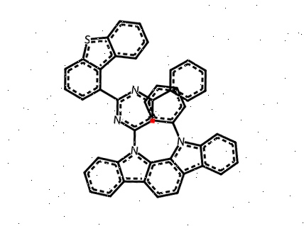 c1ccc(-c2cc(-n3c4ccccc4c4ccc5c6ccccc6n(-c6ccccc6)c5c43)nc(-c3cccc4sc5ccccc5c34)n2)cc1